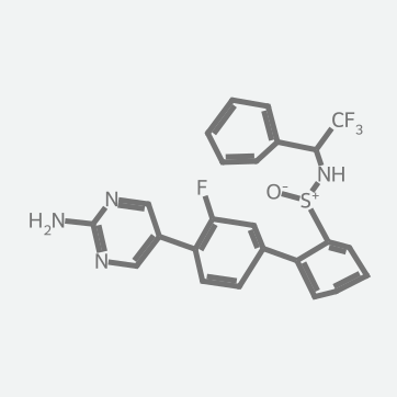 Nc1ncc(-c2ccc(-c3ccccc3[S+]([O-])NC(c3ccccc3)C(F)(F)F)cc2F)cn1